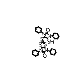 O=c1n(-c2ccccc2)c(S)c(SN2Sc3c(n(-c4ccccc4)c(=O)n3-c3ccccc3)S2)n1-c1ccccc1